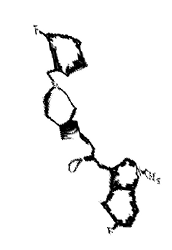 Cn1cc(C(=O)/C=C/C2CCN(Cc3ccccc3F)CC2)c2cc(F)ccc21